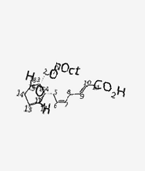 CCCCCCCCOC[C@@H]1[C@H](C/C=C\C/C=C/C(=O)O)[C@@H]2CC[C@H]1O2